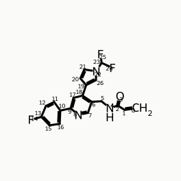 C=CC(=O)NCc1cnc(-c2ccc(F)cc2)cc1-c1ccn(C(F)F)c1